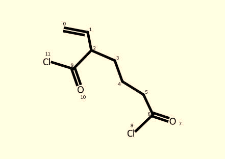 C=CC(CCCC(=O)Cl)C(=O)Cl